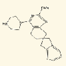 COc1nc2c(c(N3CCNCC3)n1)CCC1(Cc3ccccc3C1)C2